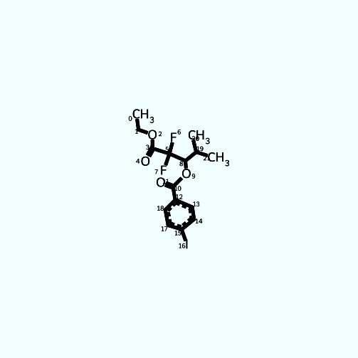 CCOC(=O)C(F)(F)C(OC(=O)c1ccc(I)cc1)C(C)C